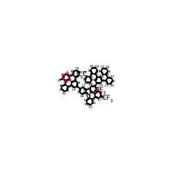 Cc1ccccc1-c1ccccc1-c1cc(-c2ccc3c(c2)c2cc(-c4cc(-c5ccccc5-c5ccccc5)cc(-c5ccccc5-c5ccccc5C(F)(F)F)c4)ccc2n3-c2ccccc2-c2cc(C(F)(F)F)cc(C(F)(F)F)c2)cc(-c2ccccc2-c2ccccc2)c1